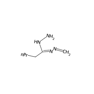 C=N/N=C(/CCCC)NN